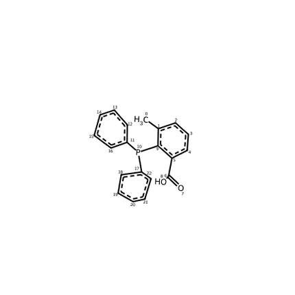 Cc1cccc(C(=O)O)c1P(c1ccccc1)c1ccccc1